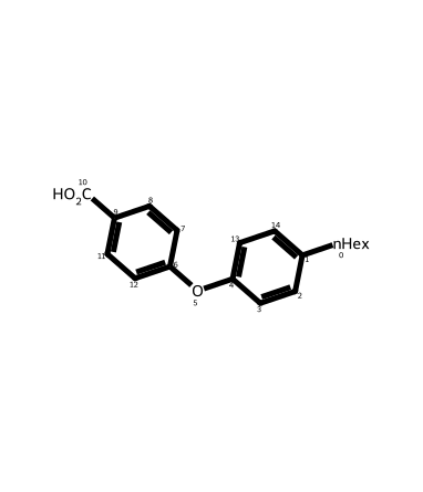 CCCCCCc1ccc(Oc2ccc(C(=O)O)cc2)cc1